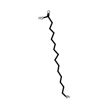 CC(C)CCCCCCCCCCCCCCC(=O)S